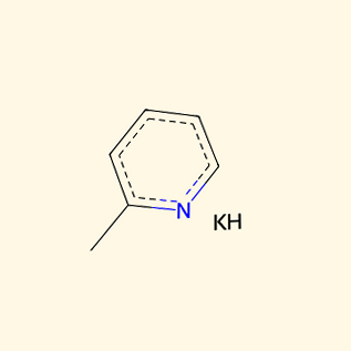 Cc1ccccn1.[KH]